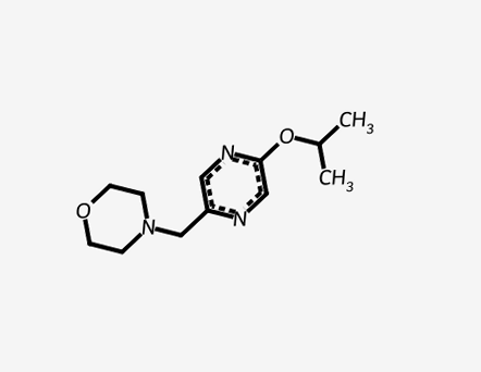 CC(C)Oc1cnc(CN2CCOCC2)cn1